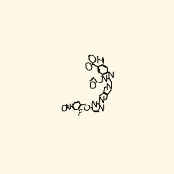 [C-]#[N+]c1ccc(COc2ccnc(N3CC4=C(CN(Cc5nc6ccc(C(=O)O)cc6n5C[C@@H]5CCO5)C4)C3)n2)c(F)c1